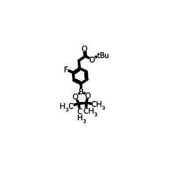 CC(C)(C)OC(=O)Cc1ccc(B2OC(C)(C)C(C)(C)O2)cc1F